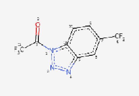 O=C(n1nnc2cc(C(F)(F)F)ccc21)C(F)(F)F